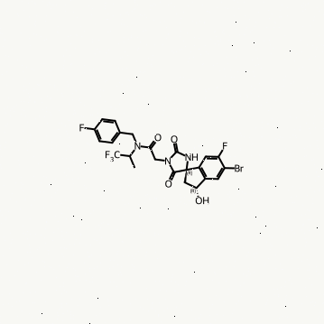 CC(N(Cc1ccc(F)cc1)C(=O)CN1C(=O)N[C@@]2(C[C@@H](O)c3cc(Br)c(F)cc32)C1=O)C(F)(F)F